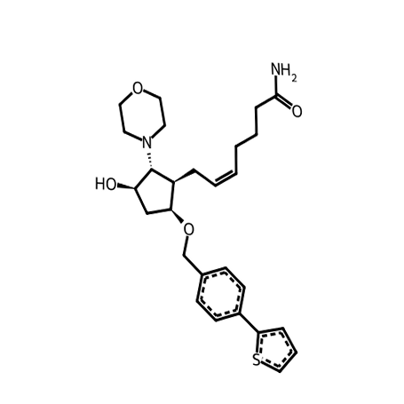 NC(=O)CCC/C=C\C[C@@H]1[C@@H](N2CCOCC2)[C@H](O)C[C@@H]1OCc1ccc(-c2cccs2)cc1